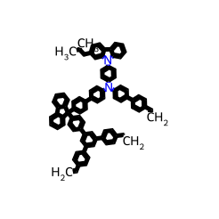 C=Cc1ccc(-c2ccc(N(c3ccc(-c4ccc(C5(c6ccc(-c7cc(-c8ccc(C=C)cc8)cc(-c8ccc(C=C)cc8)c7)cc6)c6ccccc6-c6ccccc65)cc4)cc3)c3ccc(-n4c5ccccc5c5ccc(CC(C)C)cc54)cc3)cc2)cc1